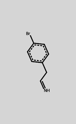 N=CCc1ccc(Br)cc1